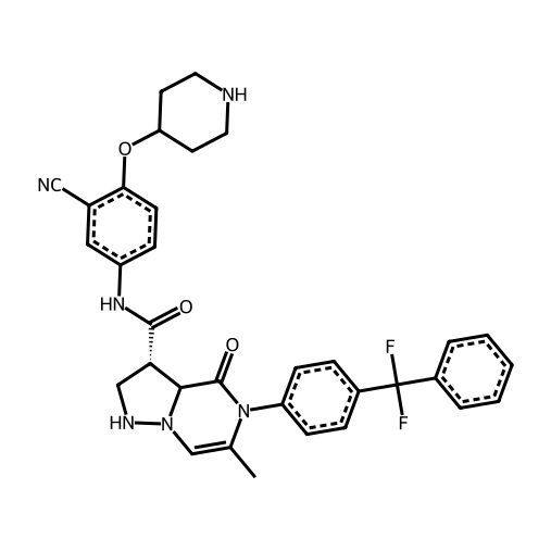 CC1=CN2NC[C@H](C(=O)Nc3ccc(OC4CCNCC4)c(C#N)c3)C2C(=O)N1c1ccc(C(F)(F)c2ccccc2)cc1